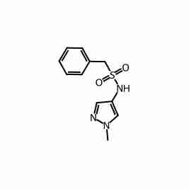 Cn1cc(NS(=O)(=O)Cc2ccccc2)cn1